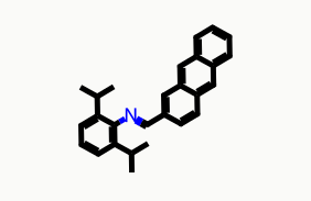 CC(C)c1cccc(C(C)C)c1N=Cc1ccc2cc3ccccc3cc2c1